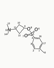 Cc1ccc(S(=O)(=O)OC2CC(N(C)C)C2)cc1